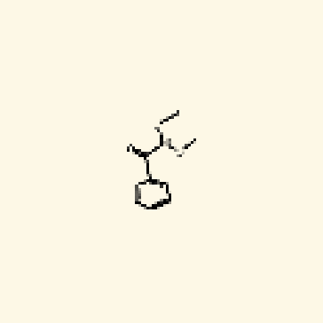 CO[N+](OC)C(=O)c1ccccc1